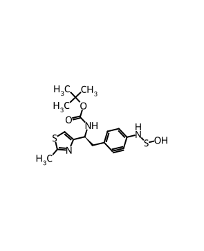 Cc1nc([C@H](Cc2c#cc(NSO)cc2)NC(=O)OC(C)(C)C)cs1